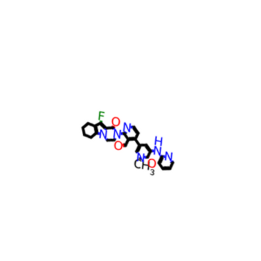 Cn1cc(-c2ccnc(N3CCn4c5c(c(F)c4C3=O)CCCC5)c2C=O)cc(Nc2ccccn2)c1=O